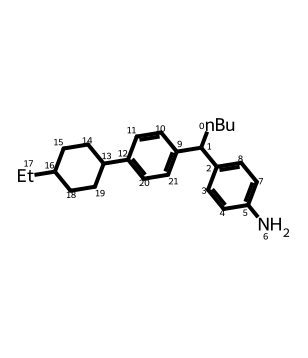 CCCCC(c1ccc(N)cc1)c1ccc(C2CCC(CC)CC2)cc1